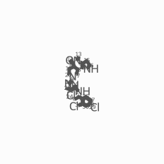 CC(Nc1nc(N2CCC(C(=O)N(C)C3CCNC3)CC2)ncc1Cl)c1ccc(Cl)cc1Cl